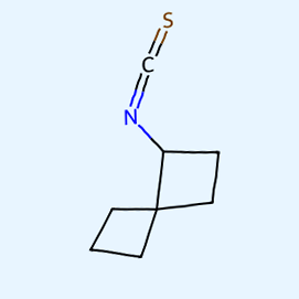 S=C=NC1CCC12CCC2